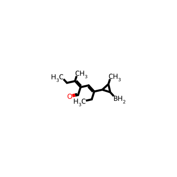 BC1C(C)C1/C(=C/C(C=O)=C(\C)CC)CC